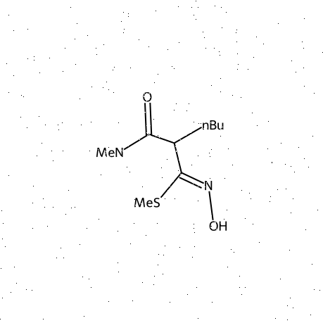 CCCCC(C(=O)NC)C(=NO)SC